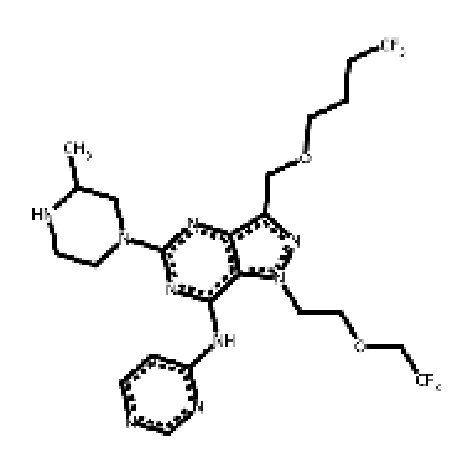 CC1CN(c2nc(Nc3ccncn3)c3c(n2)c(COCCCC(F)(F)F)nn3CCOCC(F)(F)F)CCN1